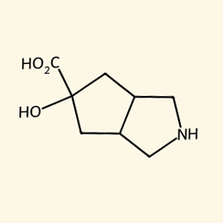 O=C(O)C1(O)CC2CNCC2C1